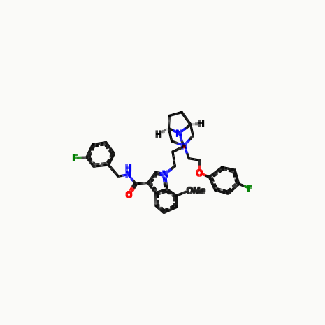 COc1cccc2c(C(=O)NCc3cccc(F)c3)cn(CCCN3[C@@H]4CC[C@H]3CN(CCOc3ccc(F)cc3)C4)c12